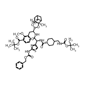 COc1c(CC(NC(=O)C(NC(=O)N2CCC(CNC(=O)OC(C)(C)C)CC2)c2csc(NC(=O)OCc3ccccc3)n2)B2OC3CC4CC(C4(C)C)[C@]3(C)O2)cccc1C(=O)OC(C)(C)C